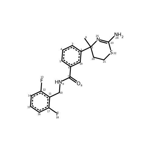 CC1(c2cccc(C(=O)NCc3c(F)cccc3F)c2)CCSC(N)=N1